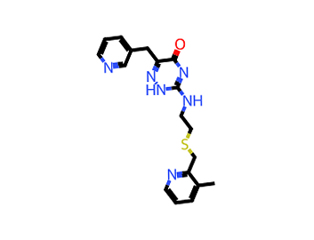 Cc1cccnc1CSCCNc1nc(=O)c(Cc2cccnc2)n[nH]1